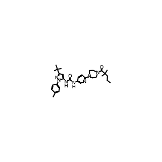 CCCC(C)(C)C(=O)N1CCN(c2ccc(NC(=O)Nc3cc(C(C)(C)C)nn3-c3ccc(C)cc3)cn2)CC1